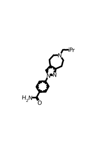 CC(C)CN1CCc2cn(-c3ccc(C(N)=O)cc3)nc2CC1